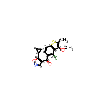 COc1c(C)sc2ccc(C(=O)c3cnoc3C3CC3)c(Cl)c12